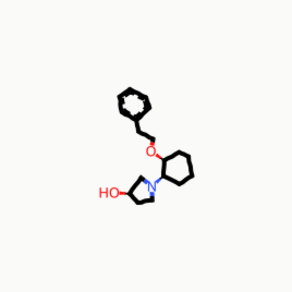 O[C@@H]1CCN([C@@H]2CCCC[C@@H]2OCCc2ccccc2)C1